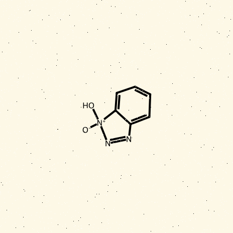 [O-][N+]1(O)N=Nc2ccccc21